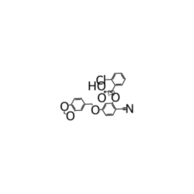 N#Cc1ccc(OCc2ccc3c(c2)OCO3)cc1O[C@H](C(=O)O)c1ccccc1Cl